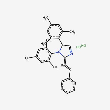 Cc1cc(C)c(C2C=N[C](=[Ru]=[CH]c3ccccc3)N2c2c(C)cc(C)cc2C)c(C)c1.Cl.Cl